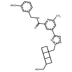 COc1cccc(CNC(=O)c2cc(-c3nnn(CC45C6C7C4C4C5C6C74CO)n3)cc(C)n2)c1